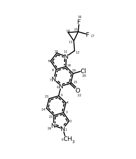 Cn1cc2cc(-n3nc4ccn(CC5CC5(F)F)c4c(Cl)c3=O)ccc2n1